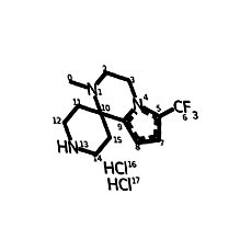 CN1CCn2c(C(F)(F)F)ccc2C12CCNCC2.Cl.Cl